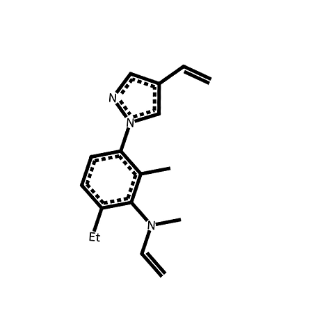 C=Cc1cnn(-c2ccc(CC)c(N(C)C=C)c2C)c1